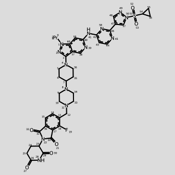 CC(C)n1nc(N2CCC(N3CCN(Cc4ccc5c(c4F)C(=O)N(C4CCC(=O)NC4=O)C5=O)CC3)CC2)c2cnc(Nc3ccnc(-c4cnn(S(=O)(=O)C5CC5)c4)n3)cc21